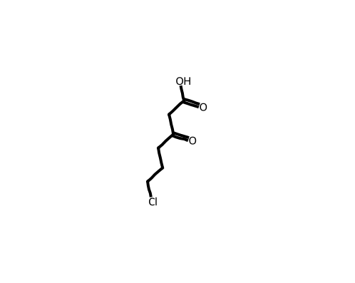 O=C(O)CC(=O)CCCCl